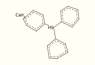 [CaH2].c1ccc([SiH](c2ccccc2)c2ccccc2)cc1